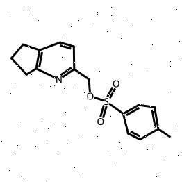 Cc1ccc(S(=O)(=O)OCc2ccc3c(n2)CCC3)cc1